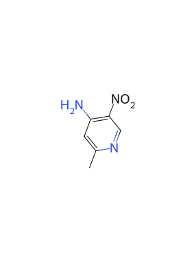 Cc1cc(N)c([N+](=O)[O-])cn1